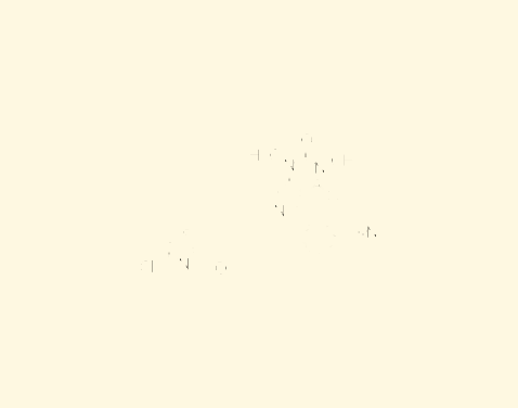 Cn1c(=O)c2c(-c3cccc(C#N)c3)n(CCCCC(O)c3nc(Cl)cs3)cc2n(C)c1=O